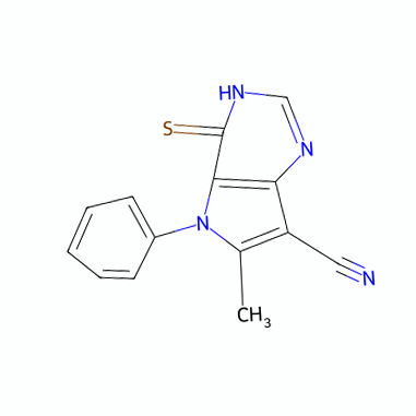 Cc1c(C#N)c2nc[nH]c(=S)c2n1-c1ccccc1